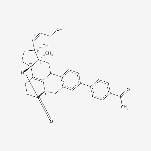 CC(=O)c1ccc(-c2ccc3c(c2)C[C@]24CCC(=O)C=C2CCC2=C4C3C[C@@]3(C)[C@H]2CC[C@@]3(O)/C=C\CO)cc1